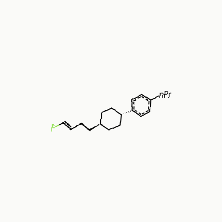 CCCc1ccc([C@H]2CC[C@H](CCC=CF)CC2)cc1